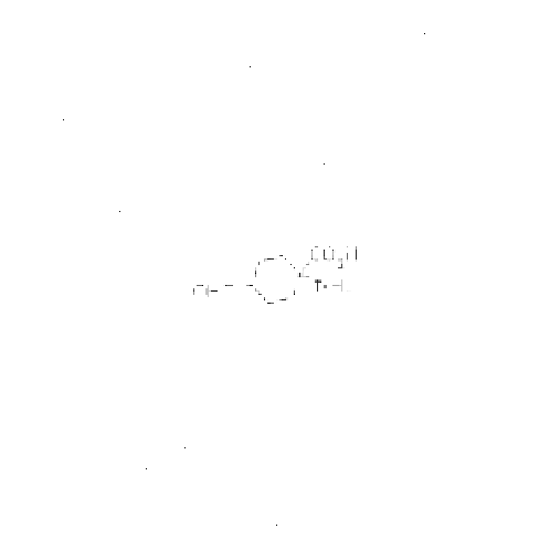 NC1(C(=O)O)CCC(C=O)CC1